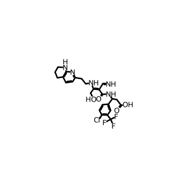 N=C/C(C(=O)NC(CC(=O)O)c1ccc(Cl)c(C(F)(F)F)c1)=C(/CO)NCCc1ccc2c(n1)NCCC2